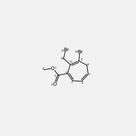 COC(=O)C1=CC=CCC(Br)=C1CBr